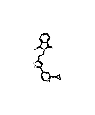 O=C1c2ccccc2C(=O)N1CCc1cc(-c2ccnc(C3CC3)c2)no1